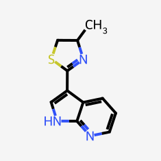 CC1CSC(c2c[nH]c3ncccc23)=N1